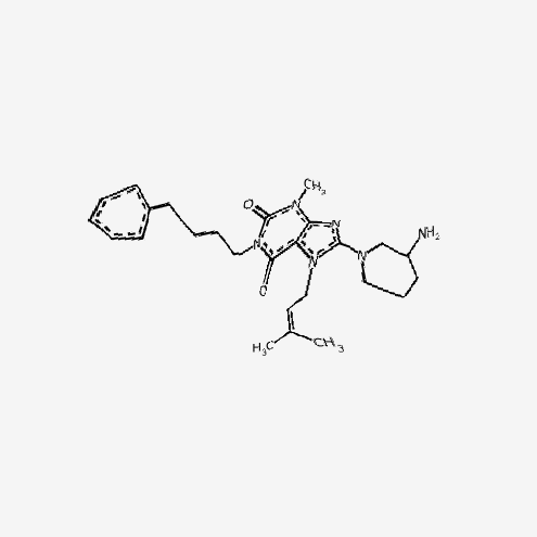 CC(C)=CCn1c(N2CCCC(N)C2)nc2c1c(=O)n(CCCCc1ccccc1)c(=O)n2C